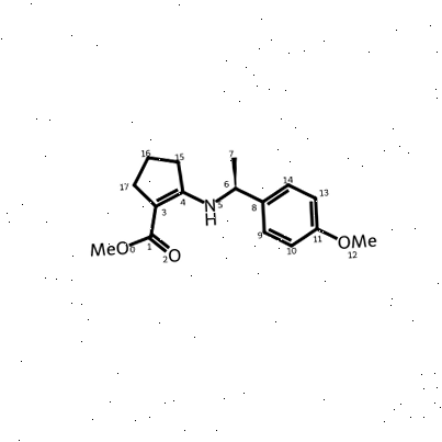 COC(=O)C1=C(N[C@@H](C)c2ccc(OC)cc2)CCC1